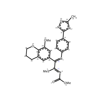 COC(=O)/N=C(SC)/C(=N/c1ccc(-c2noc(C)n2)cc1)c1cc2c(c(OC)c1)OCCC2